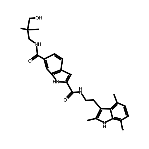 Cc1[nH]c2c(F)ccc(C)c2c1CCNC(=O)c1cc2ccc(C(=O)NCC(C)(C)CO)cc2[nH]1